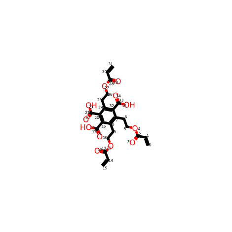 C=CC(=O)OCCc1c(CCOC(=O)C=C)c(C(=O)O)c(C(=O)O)c(CCOC(=O)C=C)c1C(=O)O